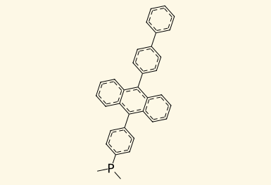 CP(C)c1ccc(-c2c3ccccc3c(-c3ccc(-c4ccccc4)cc3)c3ccccc23)cc1